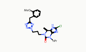 C=C1c2[nH]c(Cl)nc2N(CCC)C(=O)N1CCCn1nnc(Cc2ccccc2OC)n1